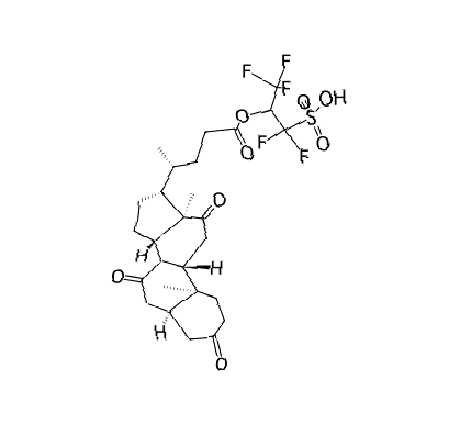 C[C@H](CCC(=O)OC(C(F)(F)F)C(F)(F)S(=O)(=O)O)[C@H]1CC[C@H]2C3C(=O)C[C@@H]4CC(=O)CC[C@]4(C)[C@H]3CC(=O)[C@]12C